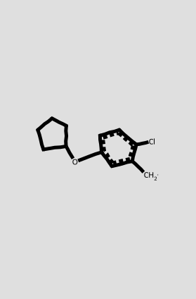 [CH2]c1cc(OC2CCCC2)ccc1Cl